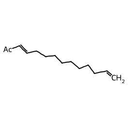 C=CCCCCCCCCC=CC(C)=O